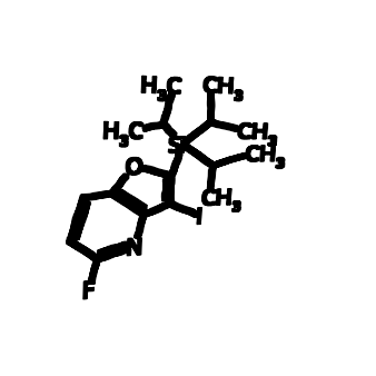 CC(C)[Si](c1oc2ccc(F)nc2c1I)(C(C)C)C(C)C